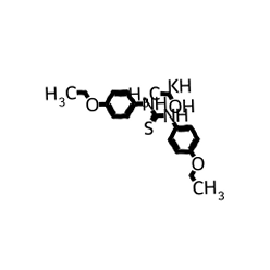 CCO.CCOc1ccc(NC(=S)Nc2ccc(OCC)cc2)cc1.[KH]